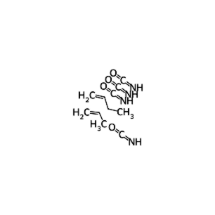 C=CC.C=CCC.N=C=O.N=C=O.N=C=O.N=C=O